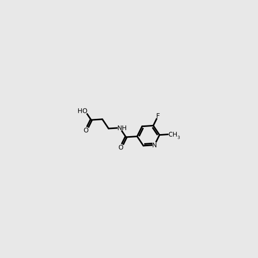 Cc1ncc(C(=O)NCCC(=O)O)cc1F